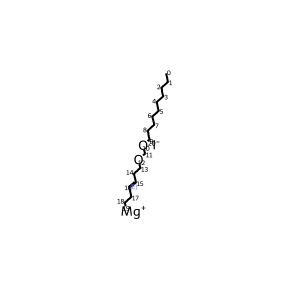 CCCCCCCCCCOCOCC/C=C/C[CH2][Mg+].[I-]